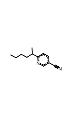 CCCCC(C)c1ccc(C#N)cn1